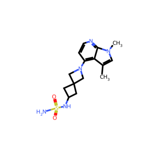 Cc1cn(C)c2nccc(N3CC4(CC(NS(N)(=O)=O)C4)C3)c12